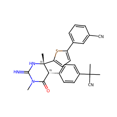 CN1C(=N)N[C@](C)(c2ccc(-c3cccc(C#N)c3)s2)[C@H](c2ccc(C(C)(C)C#N)cc2)C1=O